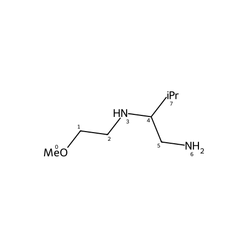 COCCNC(CN)C(C)C